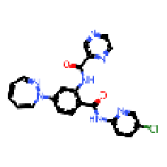 O=C(Nc1cc(N2C=CC=CC=N2)ccc1C(=O)Nc1ccc(Cl)cn1)c1cnccn1